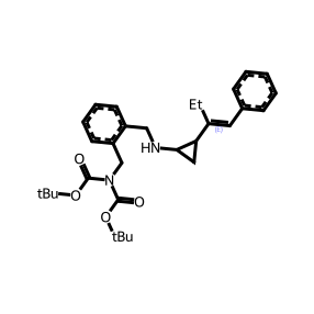 CC/C(=C\c1ccccc1)C1CC1NCc1ccccc1CN(C(=O)OC(C)(C)C)C(=O)OC(C)(C)C